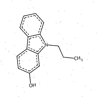 CCCn1c2ccccc2c2ccc(O)cc21